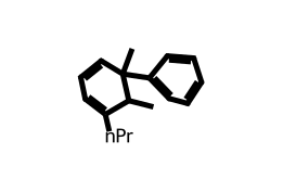 CCCC1=CC=CC(C)(c2ccccc2)C1C